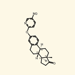 C[C@]12CC[C@@H]3c4ccc(Oc5ccc(N=O)cn5)cc4CC[C@H]3[C@@H]1CCC2=O